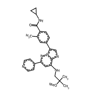 COC(C)(C)CNc1cc(-c2ccncc2)nn2c(-c3ccc(C(=O)NC4CC4)c(C)c3)cnc12